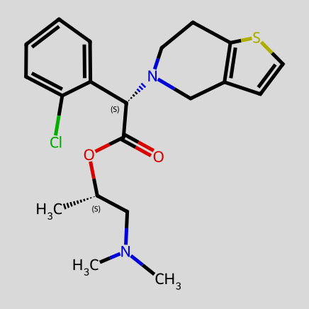 C[C@@H](CN(C)C)OC(=O)[C@H](c1ccccc1Cl)N1CCc2sccc2C1